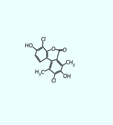 Cc1c(O)c(Cl)c(C)c2c1c(=O)oc1c(Cl)c(O)ccc12